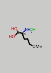 COCCC[C@H](N)B(O)O.Cl